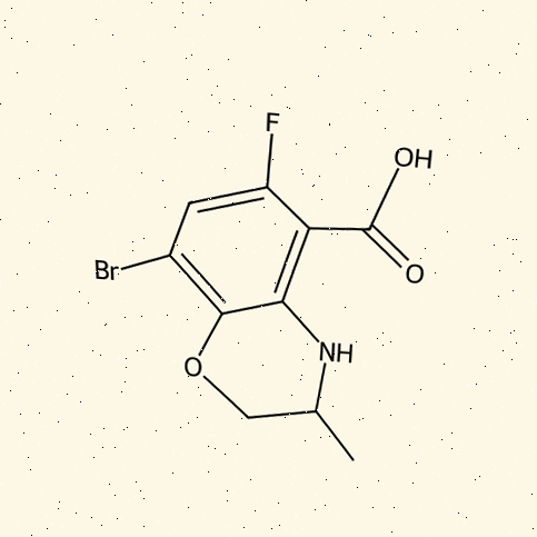 CC1COc2c(Br)cc(F)c(C(=O)O)c2N1